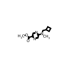 COC(=O)c1cnc(N(C)CC2CCC2)cn1